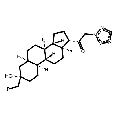 C[C@]12CC[C@H]3[C@@H](CC[C@@H]4C[C@](O)(CF)CC[C@@H]43)[C@@H]1CC[C@@H]2C(=O)Cn1ncnn1